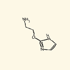 NCCOc1ncc[nH]1